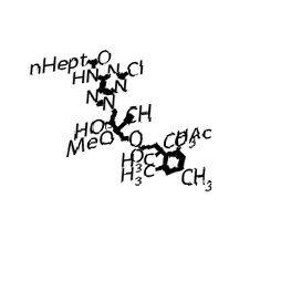 C#CC(COC(=O)CC(C)(C)c1c(C)cc(C)cc1OC(C)=O)(OC)[C@@H](O)Cn1cnc2c(NC(=O)CCCCCCC)nc(Cl)nc21